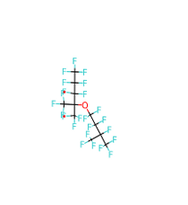 FC(F)(F)C(F)(F)C(F)(F)C(OC(F)(F)C(F)(F)C(F)(C(F)(F)F)C(F)(F)F)(C(F)(F)F)C(F)(F)F